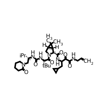 C=CCNC(=O)C(=O)C(CC1CC1)NC(=O)[C@@H]1[C@@H]2[C@H](CN1C(=O)[C@@H](NC(=O)N[C@H](CN1CCCCC1=O)C(C)C)C(C)(C)C)C2(C)C